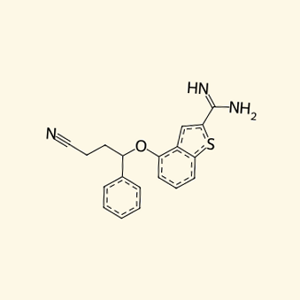 N#CCCC(Oc1cccc2sc(C(=N)N)cc12)c1ccccc1